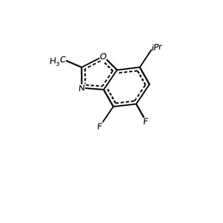 Cc1nc2c(F)c(F)cc(C(C)C)c2o1